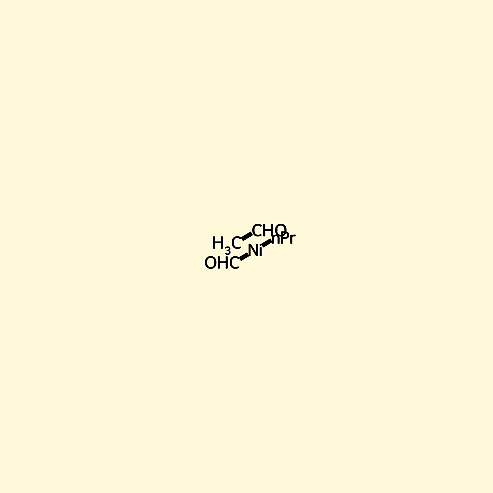 CC[CH2][Ni][CH]=O.C[C]=O